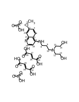 COc1ccc2c(NCCCN(CCO)CCO)ccnc2c1.O=C(O)/C=C/C(=O)O.O=C(O)/C=C/C(=O)O.O=[N+]([O-])O.O=[N+]([O-])O